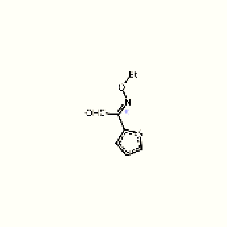 CCO/N=C(\[C]=O)c1cccs1